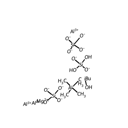 CCC(C)O.[Al+3].[Al+3].[Al+3].[CH3][Al-]([CH3])([CH3])[CH3].[Mg+2].[O-][Si]([O-])(O)O.[O-][Si]([O-])([O-])[O-].[O-][Si]([O-])([O-])[O-]